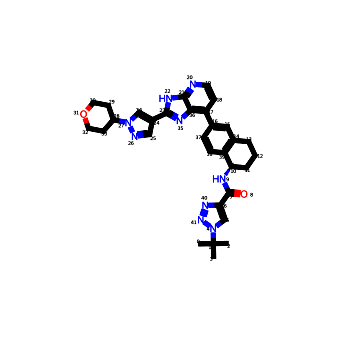 CC(C)(C)n1cc(C(=O)N[C@@H]2CCCc3cc(-c4ccnc5[nH]c(-c6cnn(C7CCOCC7)c6)nc45)ccc32)nn1